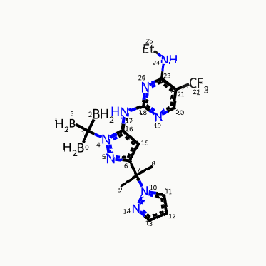 BC(B)(B)n1nc(C(C)(C)n2cccn2)cc1Nc1ncc(C(F)(F)F)c(NCC)n1